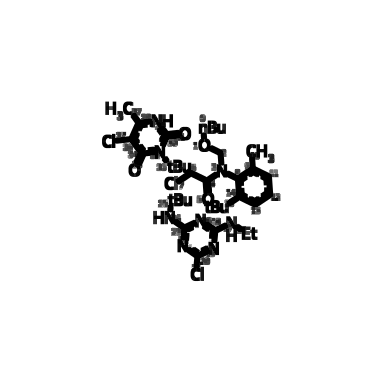 CCCCOCN(C(=O)CCl)c1c(C)cccc1C(C)(C)C.CCNc1nc(Cl)nc(NC(C)(C)C)n1.Cc1[nH]c(=O)n(C(C)(C)C)c(=O)c1Cl